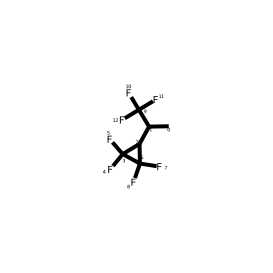 CC(C1C(F)(F)C1(F)F)C(F)(F)F